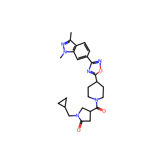 Cc1nn(C)c2cc(-c3noc(C4CCN(C(=O)C5CC(=O)N(CC6CC6)C5)CC4)n3)ccc12